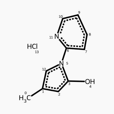 Cc1cc(O)n(-c2ccccn2)c1.Cl